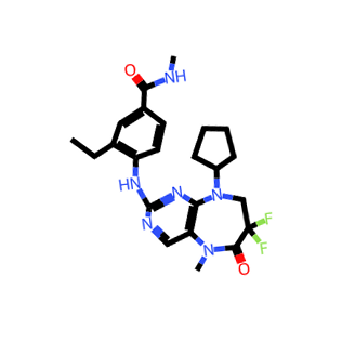 CCc1cc(C(=O)NC)ccc1Nc1ncc2c(n1)N(C1CCCC1)CC(F)(F)C(=O)N2C